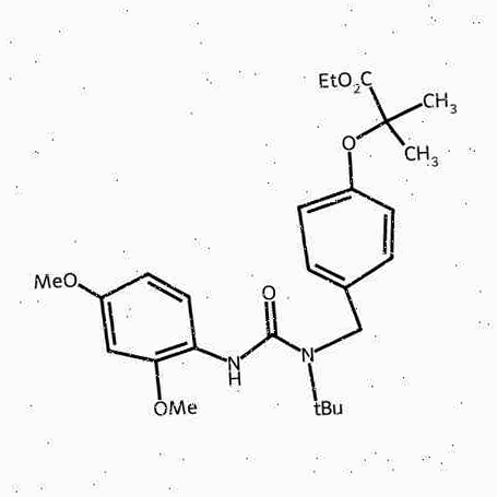 CCOC(=O)C(C)(C)Oc1ccc(CN(C(=O)Nc2ccc(OC)cc2OC)C(C)(C)C)cc1